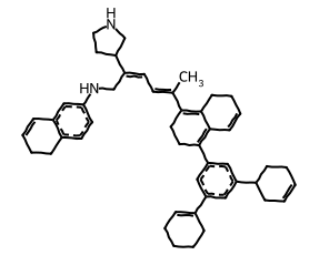 C/C(=C\C=C(/CNc1ccc2c(c1)C=CCC2)C1CCNC1)C1=C2CCC=CC2=C(c2cc(C3=CCCCC3)cc(C3CC=CCC3)c2)CC1